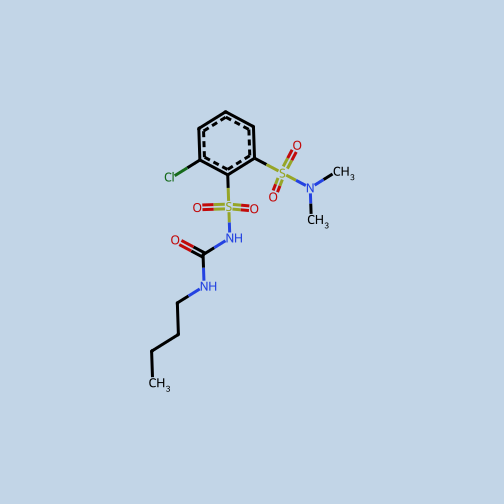 CCCCNC(=O)NS(=O)(=O)c1c(Cl)cccc1S(=O)(=O)N(C)C